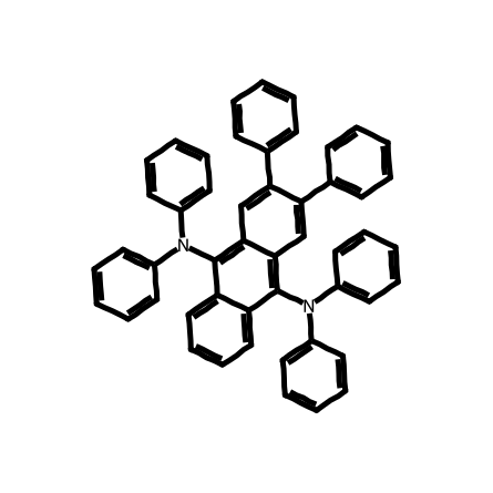 c1ccc(-c2cc3c(N(c4ccccc4)c4ccccc4)c4ccccc4c(N(c4ccccc4)c4ccccc4)c3cc2-c2ccccc2)cc1